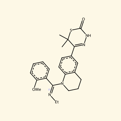 CC/N=C(/c1ccccc1OC)N1CCCc2cc(C3=NNC(=O)SC3(C)C)ccc21